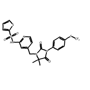 CC1(C)C(=O)N(c2ccc(SC(F)(F)F)cc2)C(=O)N1Cc1ccnc(NS(=O)(=O)c2cccs2)c1